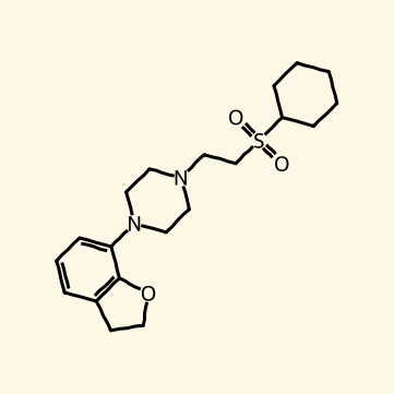 O=S(=O)(CCN1CCN(c2cccc3c2OCC3)CC1)C1CCCCC1